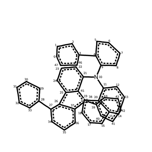 c1ccc(-c2ccccc2N(c2cccc3ccccc23)c2cccc3c4c(-c5ccccc5)cccc4n(-c4ccccc4)c23)cc1